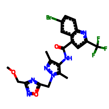 COCc1noc(Cn2nc(C)c(NC(=O)c3cc(C(F)(F)F)nc4ccc(Br)cc34)c2C)n1